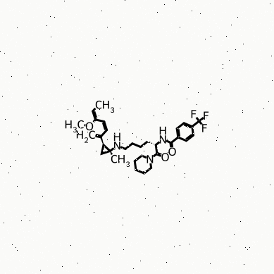 C=C(/C=C\C(=C/C)OC)[C@@H]1C[C@@]1(C)NCCCC[C@H](NC(=O)c1ccc(C(F)(F)F)cc1)C(=O)N1CCCCC1